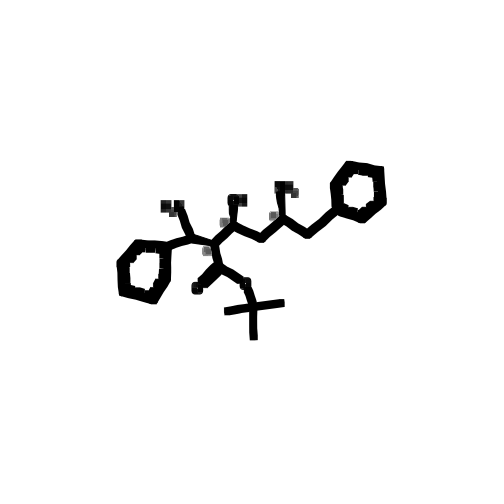 CC(C)(C)OC(=O)[C@@H](C(N)c1ccccc1)[C@@H](O)C[C@@H](N)Cc1ccccc1